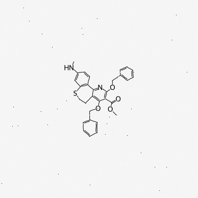 CNc1ccc2c(c1)SCCc1c-2nc(OCc2ccccc2)c(C(=O)OC)c1OCc1ccccc1